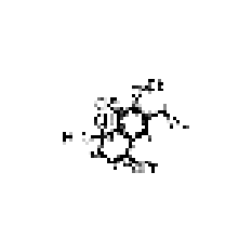 CCOc1c(CC(C)=O)cc2c(c1Cl)C(C)(C)CC=C2C(C)C